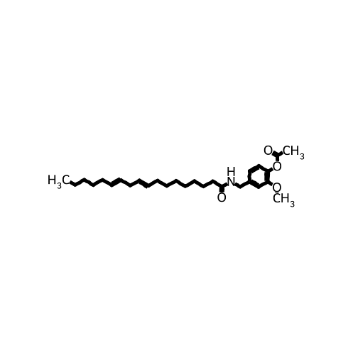 CCCCCC=CCC=CCCCCCCCC(=O)NCc1ccc(OC(C)=O)c(OC)c1